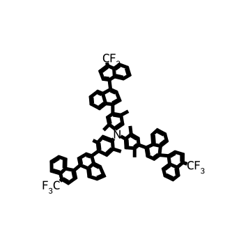 Cc1cc(N(c2cc(C)c(-c3ccc(-c4ccc(C(F)(F)F)c5ccccc45)c4ccccc34)cc2C)c2cc(C)c(-c3ccc(-c4ccc(C(F)(F)F)c5ccccc45)c4ccccc34)cc2C)c(C)cc1-c1ccc(-c2ccc(C(F)(F)F)c3ccccc23)c2ccccc12